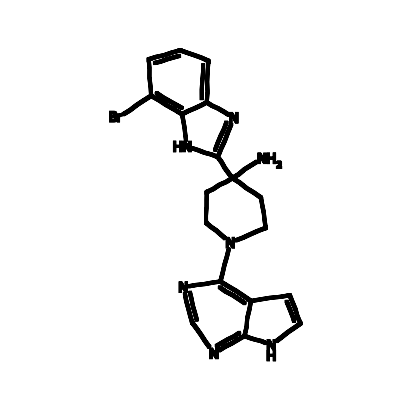 NC1(c2nc3cccc(Br)c3[nH]2)CCN(c2ncnc3[nH]ccc23)CC1